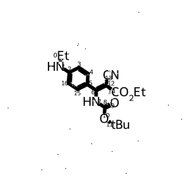 CCNc1ccc(/C(NC(=O)OC(C)(C)C)=C(\C#N)C(=O)OCC)cc1